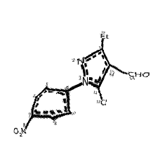 CCc1nn(-c2ccc([N+](=O)[O-])cc2)c(Cl)c1C=O